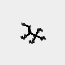 C/C(=C\[O])C(C)(C)C